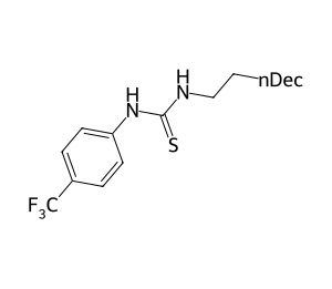 CCCCCCCCCCCCNC(=S)Nc1ccc(C(F)(F)F)cc1